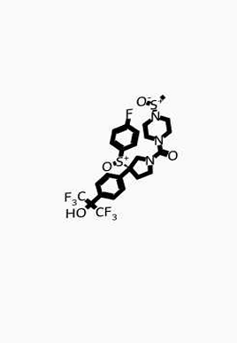 C[S+]([O-])N1CCN(C(=O)N2CC[C@](c3ccc(C(O)(C(F)(F)F)C(F)(F)F)cc3)([S+]([O-])c3ccc(F)cc3)C2)CC1